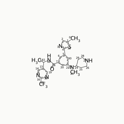 Cc1cnc(-c2cc(C(=O)NC(C)c3cnc(C(F)(F)F)nc3)cc(N(C)C3CCNCC3)c2)s1